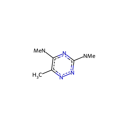 CNc1nnc(C)c(NC)n1